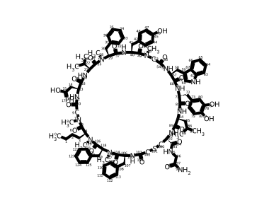 CCCC[C@H]1C(=O)N(C)CC(=O)N[C@@H](CC(O)=P)C(=O)N[C@@H](C(C)C)C(=O)N(C)[C@@H](Cc2ccccc2)C(=O)N[C@@H](Cc2ccc(O)cc2)C(=O)N(C)CC(=O)N[C@@H](Cc2c[nH]c3ccccc23)C(=O)N[C@H](Cc2ccc(O)c(O)c2)C(=O)N[C@@H](CC(C)C)C(=O)N[C@H](C(=O)NCC(N)=O)CSCC(=O)N[C@@H](Cc2ccccc2)C(=O)N(C)[C@@H](Cc2ccccc2)C(=O)N1C